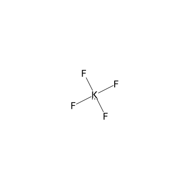 [F][K]([F])([F])[F]